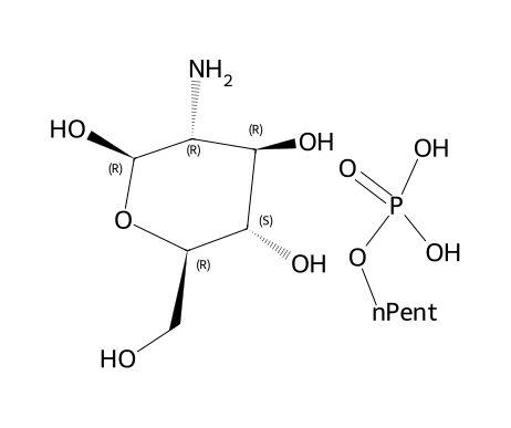 CCCCCOP(=O)(O)O.N[C@@H]1[C@@H](O)[C@H](O)[C@@H](CO)O[C@H]1O